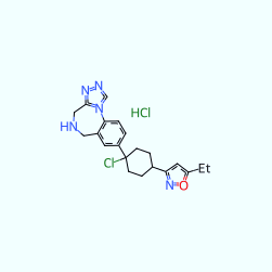 CCc1cc(C2CCC(Cl)(c3ccc4c(c3)CNCc3nncn3-4)CC2)no1.Cl